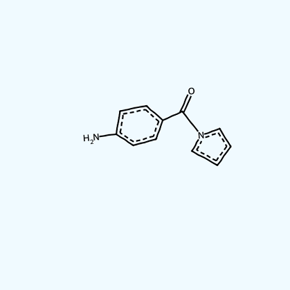 Nc1ccc(C(=O)n2cccc2)cc1